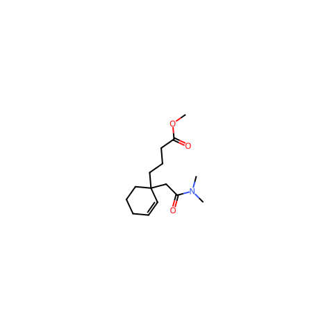 COC(=O)CCCC1(CC(=O)N(C)C)C=CCCC1